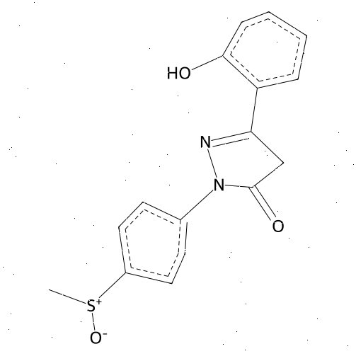 C[S+]([O-])c1ccc(N2N=C(c3ccccc3O)CC2=O)cc1